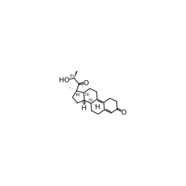 C[C@H](O)C(=O)[C@]1(C)CC[C@H]2[C@@H]3CCC4=CC(=O)CCC4=C3CC[C@@]21C